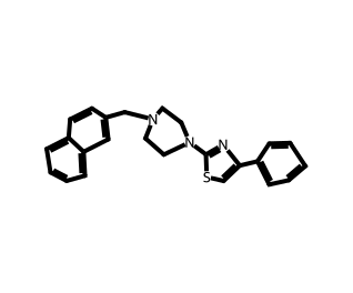 c1ccc(-c2csc(N3CCN(Cc4ccc5ccccc5c4)CC3)n2)cc1